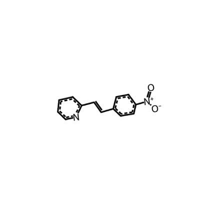 O=[N+]([O-])c1ccc(/C=C/c2ccccn2)cc1